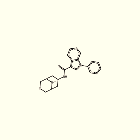 CN1C2COCC1CC(NC(=O)c1cn(-c3ccccc3)c3ccccc13)C2